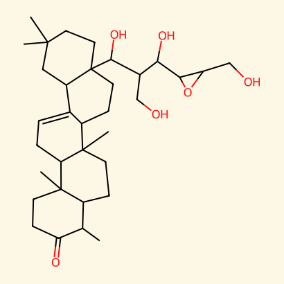 CC1C(=O)CCC2(C)C1CCC1(C)C3CCC4(C(O)C(CO)C(O)C5OC5CO)CCC(C)(C)CC4C3=CCC12